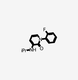 CC(C)Nc1cccn(-c2ccccc2F)c1=O